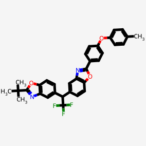 Cc1ccc(Oc2ccc(-c3nc4cc(C(c5ccc6oc(C(C)(C)C)nc6c5)C(F)(F)F)ccc4o3)cc2)cc1